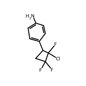 Nc1ccc(C2CC(F)(F)C2(F)Cl)cc1